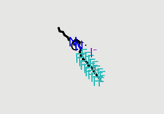 CCCCCCN1[C+]N(CCC(F)(F)C(F)(F)C(F)(F)C(F)(F)C(F)(F)C(F)(F)C(F)(F)C(F)(F)F)C=C1.[I-]